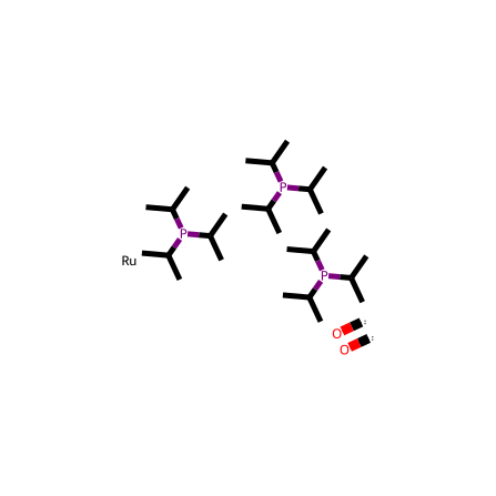 CC(C)P(C(C)C)C(C)C.CC(C)P(C(C)C)C(C)C.CC(C)P(C(C)C)C(C)C.[C]=O.[C]=O.[Ru]